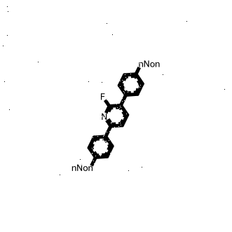 CCCCCCCCCc1ccc(-c2ccc(-c3ccc(CCCCCCCCC)cc3)c(F)n2)cc1